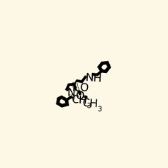 CCOC(=O)[C@@H]1[C@H](CCCNCCc2ccccc2)CCN1[C@@H](C)c1ccccc1